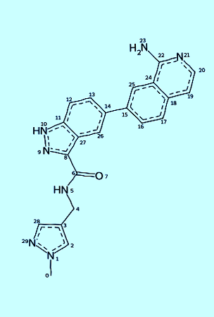 Cn1cc(CNC(=O)c2n[nH]c3ccc(-c4ccc5ccnc(N)c5c4)cc23)cn1